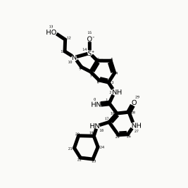 N=C(Nc1ccc2c(c1)CN(CCO)[S+]2[O-])c1c(NC2CCCCC2)cc[nH]c1=O